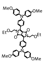 CCOCCN1C(=O)C2=C(c3ccc(N(c4ccc(OC)cc4)c4ccc(OC)cc4)cc3)N(CCOCC)C(=O)C2=C1c1ccc(N(c2ccc(OC)cc2)c2ccc(OC)cc2)cc1